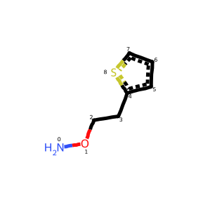 NOCCc1cccs1